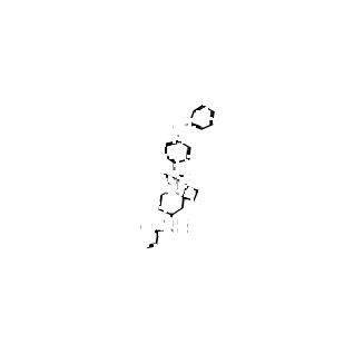 C=CC(=O)NC1CCN(S(=O)(=O)c2ccc(Oc3ccccc3)cc2)C2(CCC2)C1